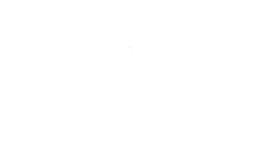 CCOC(=O)c1ccc(Oc2ccccc2)c(-c2cn(C)c(=O)c3c2ccn3S(=O)(=O)c2ccc(C)cc2)c1